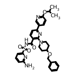 CC(C)Oc1ccc(-c2ccc(C(=O)NS(=O)(=O)c3cccc(N)n3)c(N3CCC(OCc4ccccc4)CC3)n2)cn1